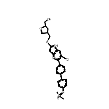 CS(C)(=O)=Nc1ccc(-c2ccc(-c3nc4cc(OCC5COC(CO)C5)[nH]c4cc3Cl)cc2)cc1